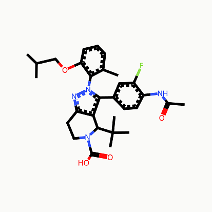 CC(=O)Nc1ccc(-c2c3c(nn2-c2c(C)cccc2OCC(C)C)CCN(C(=O)O)C3C(C)(C)C)cc1F